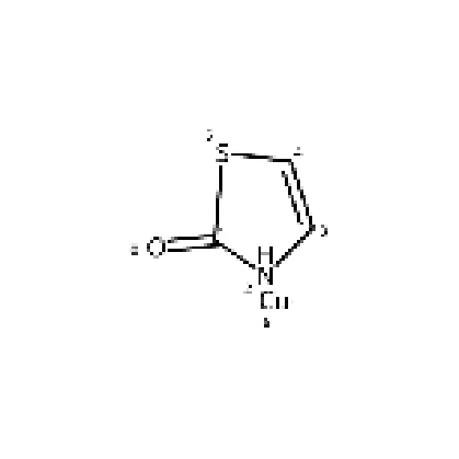 O=c1[nH]ccs1.[Cu]